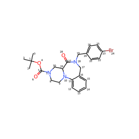 CC(C)(C)OC(=O)N1CCN2c3ccccc3CN(Cc3ccc(Br)cc3)C(=O)C2C1